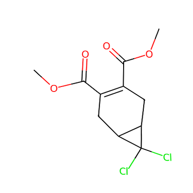 COC(=O)C1=C(C(=O)OC)CC2C(C1)C2(Cl)Cl